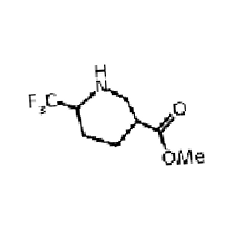 COC(=O)C1CCC(C(F)(F)F)NC1